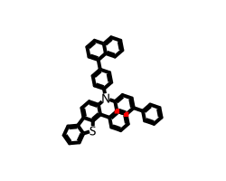 c1ccc(-c2ccc(N(c3ccc(-c4cccc5ccccc45)cc3)c3ccc4c(sc5ccccc54)c3-c3ccccc3)cc2)cc1